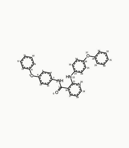 O=C(Nc1ccc(Oc2ccccc2)cc1)c1cccnc1Nc1ccc(Oc2ccccc2)cc1